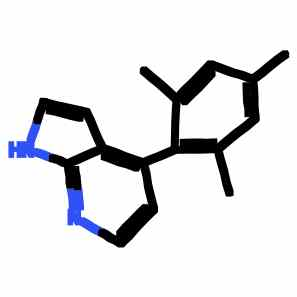 Cc1cc(C)c(-c2ccnc3[nH]ccc23)c(C)c1